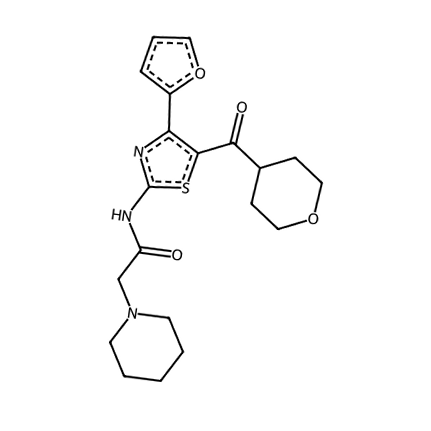 O=C(CN1CCCCC1)Nc1nc(-c2ccco2)c(C(=O)C2CCOCC2)s1